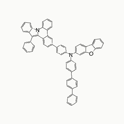 c1ccc(-c2ccc(-c3ccc(N(c4ccc(-c5ccc6c(c5)c5ccccc5n5c7ccccc7c(-c7ccccc7)c65)cc4)c4ccc5c(c4)oc4ccccc45)cc3)cc2)cc1